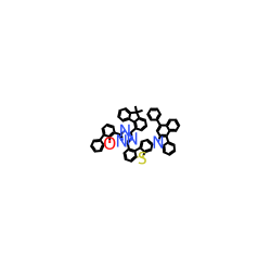 CC1(C)c2ccccc2-c2c(-c3nc(-c4cccc5c4oc4ccccc45)nc(-c4cccc5sc6cc(-n7c8ccccc8c8c9ccccc9c(-c9ccccc9)cc87)ccc6c45)n3)cccc21